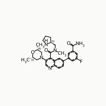 C[C@@H]1CN(c2cnc3ccc(-c4cc(F)cc(C(N)=O)c4)cc3c2C(=O)N(C)C[C@@H]2CCCN2)C[C@H](C)O1